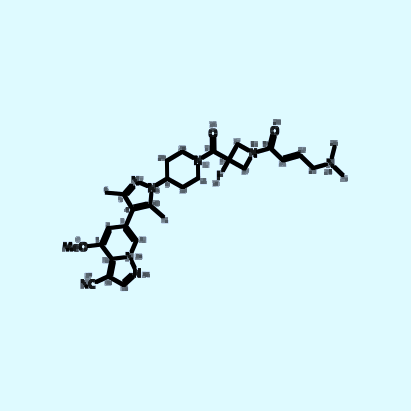 COc1cc(-c2c(C)nn(C3CCN(C(=O)C4(F)CN(C(=O)/C=C/CN(C)C)C4)CC3)c2C)cn2ncc(C#N)c12